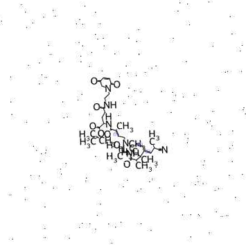 C/C=C\C(=C/C(C)C#N)C(C)(C)C(C)C(=O)NC(C)C(O)N(C)C/C=C(\C)C(=O)NC(CCC(=O)NCCN1CC(=O)C=CC1=O)C(=O)OC(C)(C)C